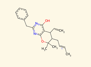 C=CC1c2c(O)nc(Cc3ccccc3)nc2OC(C)(C)C1C/C=C/C